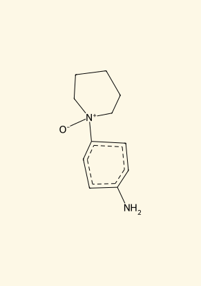 Nc1ccc([N+]2([O-])CCCCC2)cc1